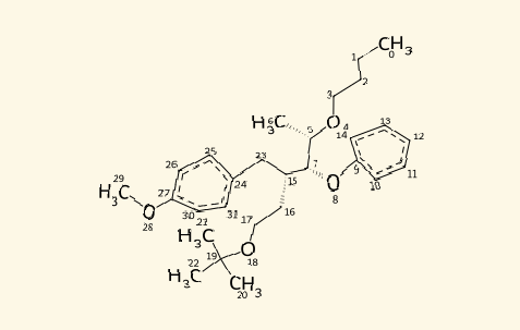 CCCCO[C@@H](C)[C@H](Oc1ccccc1)[C@H](CCOC(C)(C)C)Cc1ccc(OC)cc1